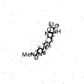 CCC1Oc2ncc(CN3CCN(c4ccc(C(=O)NC)nc4F)CC3)cc2NC1=O